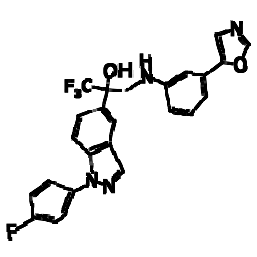 OC(CNc1cccc(-c2cnco2)c1)(c1ccc2c(cnn2-c2ccc(F)cc2)c1)C(F)(F)F